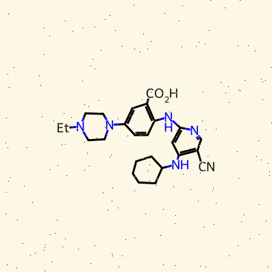 CCN1CCN(c2ccc(Nc3cc(NC4CCCCC4)c(C#N)cn3)c(C(=O)O)c2)CC1